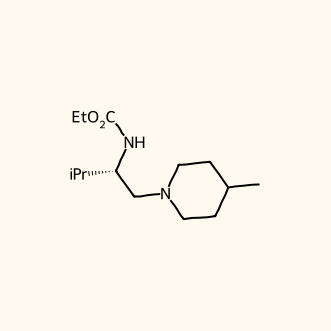 CCOC(=O)N[C@H](CN1CCC(C)CC1)C(C)C